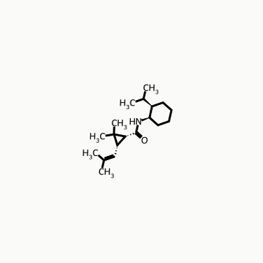 CC(C)=C[C@H]1[C@@H](C(=O)N[C@@H]2CCCC[C@@H]2C(C)C)C1(C)C